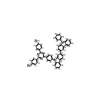 Brc1ccc(-c2nc(-c3ccc(Br)cc3)nc(-c3ccc(-n4c5ccccc5c5ccc(-c6ccc7c(c6)c6ccccc6n7-c6ccccc6)cc54)cc3)n2)cc1